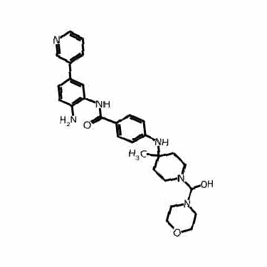 CC1(Nc2ccc(C(=O)Nc3cc(-c4cccnc4)ccc3N)cc2)CCN(C(O)N2CCOCC2)CC1